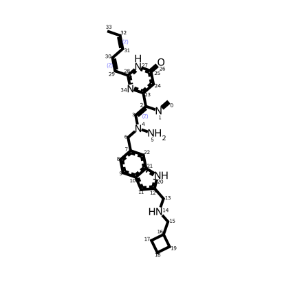 C=N/C(=C\N(N)Cc1ccc2cc(CNCC3CCC3)[nH]c2c1)c1cc(=O)[nH]c(/C=C\C=C/C)n1